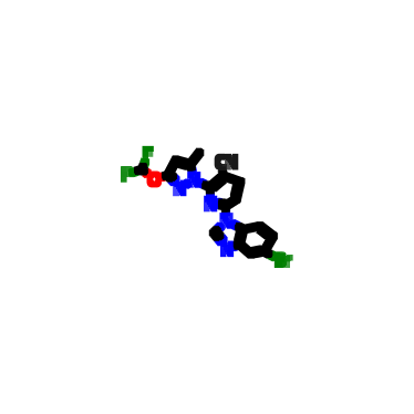 Cc1cc(OC(F)F)nn1-c1nc(-n2cnc3cc(Br)ccc32)ccc1C#N